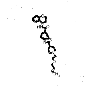 COCCOCCN1CCC(c2nc3ccc(C(=O)N[C@H]4CCOc5ccccc54)cc3s2)CC1